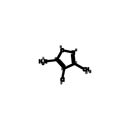 Cc1noc(N)c1Cl